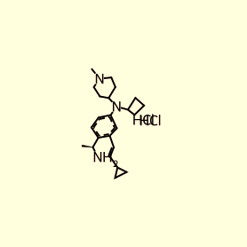 C[C@H](N)c1ccc(N(C2CCC2)C2CCN(C)CC2)cc1/C=C/C1CC1.Cl.Cl